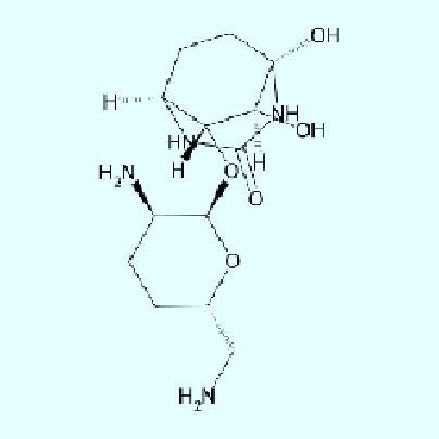 NC[C@@H]1CC[C@@H](N)[C@@H](O[C@@H]2[C@@H]3CC[C@@](O)(NC(=O)N3)[C@H]2O)O1